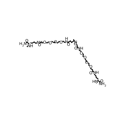 CN[C@@H](CCCCNC(=O)CCOCCOCCOCCOCCNC(=O)CC/C(C)=N\OCC(=O)NCCOCCOCCOCCOCCC(=O)NCCCC[C@H](NC)C(N)=O)C(N)=O